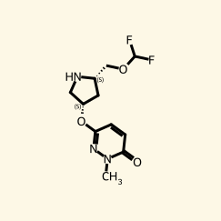 Cn1nc(O[C@@H]2CN[C@H](COC(F)F)C2)ccc1=O